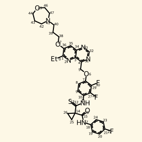 CCc1nc2c(COc3ccc(NC(=S)C4(C(=O)Nc5ccc(F)cc5)CC4)c(F)c3F)ncnc2cc1OCCCN1CCCOCC1